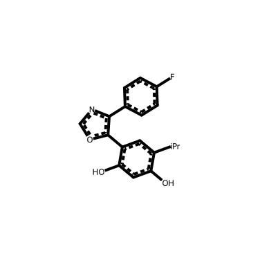 CC(C)c1cc(-c2ocnc2-c2ccc(F)cc2)c(O)cc1O